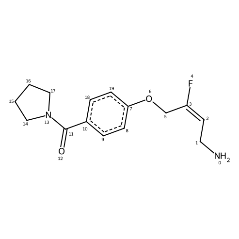 NC/C=C(/F)COc1ccc(C(=O)N2CCCC2)cc1